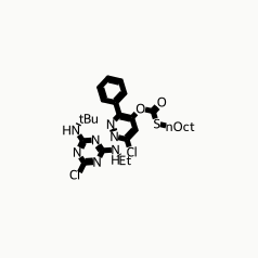 CCCCCCCCSC(=O)Oc1cc(Cl)nnc1-c1ccccc1.CCNc1nc(Cl)nc(NC(C)(C)C)n1